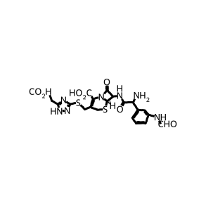 NC(C(=O)NC1C(=O)N2C(C(=O)O)=C(CSc3n[nH]c(CC(=O)O)n3)CS[C@H]12)c1cccc(NC=O)c1